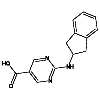 O=C(O)c1cnc(NC2Cc3ccccc3C2)nc1